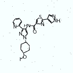 O=C(Nc1cn([C@H]2CC[C@H](OI)CC2)nc1-c1ccccn1)c1csc(-c2cn[nH]c2)n1